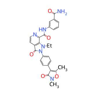 CCn1c2c(C(=O)Nc3cccc(C(N)=O)c3)nccc2c(=O)n1-c1ccc(-c2c(C)on(C)c2=O)cc1